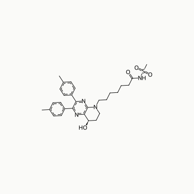 Cc1ccc(-c2nc3c(nc2-c2ccc(C)cc2)N(CCCCCCC(=O)NS(C)(=O)=O)CC[C@H]3O)cc1